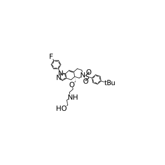 CC(C)(C)c1ccc(S(=O)(=O)N2CCC3=Cc4c(cnn4-c4ccc(F)cc4)C[C@]3(COCCNCCO)C2)cc1